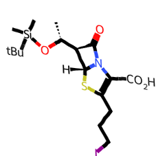 C[C@@H](O[Si](C)(C)C(C)(C)C)[C@H]1C(=O)N2C(C(=O)O)=C(CCCI)S[C@H]12